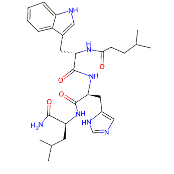 CC(C)CCC(=O)N[C@@H](Cc1c[nH]c2ccccc12)C(=O)N[C@@H](Cc1cnc[nH]1)C(=O)N[C@@H](CC(C)C)C(N)=O